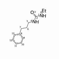 CCNC(=O)NCCCc1ccccc1